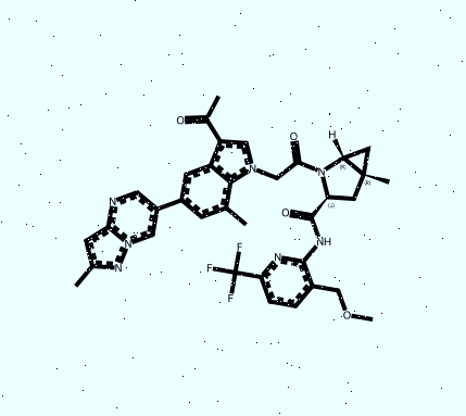 COCc1ccc(C(F)(F)F)nc1NC(=O)[C@@H]1C[C@@]2(C)C[C@H]2N1C(=O)Cn1cc(C(C)=O)c2cc(-c3cnc4cc(C)nn4c3)cc(C)c21